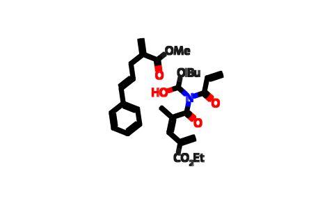 C=C(CC=Cc1ccccc1)C(=O)OC.C=CC(=O)N(C(=O)C(C)=CC(=C)C(=O)OCC)C(O)OCC(C)C